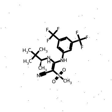 C[C@H](N/C(Nc1cc(C(F)(F)F)cc(C(F)(F)F)c1)=C(\C#N)S(C)(=O)=O)C(C)(C)C